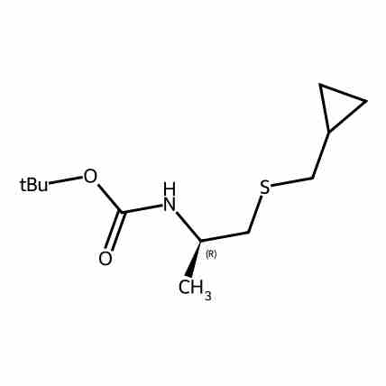 C[C@H](CSCC1CC1)NC(=O)OC(C)(C)C